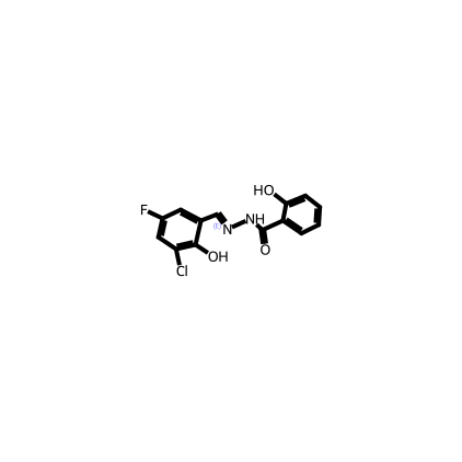 O=C(N/N=C/c1cc(F)cc(Cl)c1O)c1ccccc1O